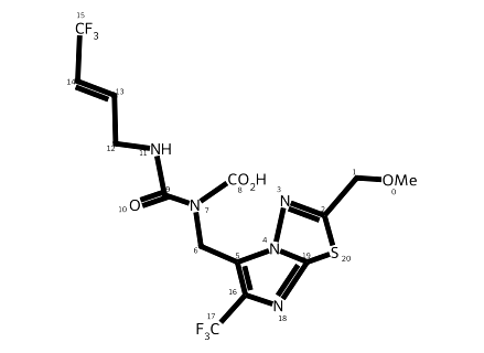 COCc1nn2c(CN(C(=O)O)C(=O)NCC=CC(F)(F)F)c(C(F)(F)F)nc2s1